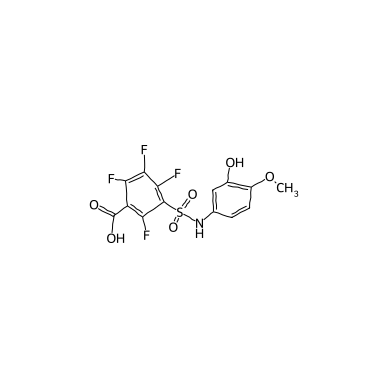 COc1ccc(NS(=O)(=O)c2c(F)c(F)c(F)c(C(=O)O)c2F)cc1O